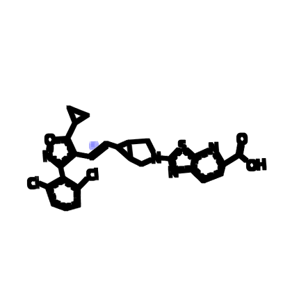 O=C(O)c1ccc2nc(N3CC4C(/C=C/c5c(-c6c(Cl)cccc6Cl)noc5C5CC5)C4C3)sc2n1